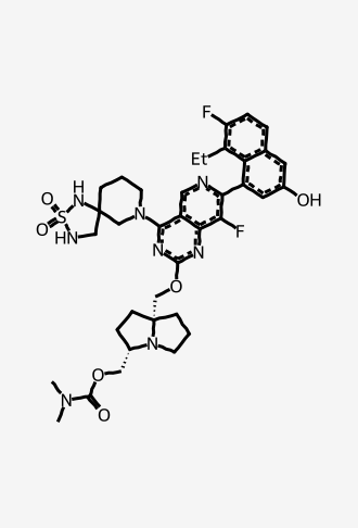 CCc1c(F)ccc2cc(O)cc(-c3ncc4c(N5CCCC6(CNS(=O)(=O)N6)C5)nc(OC[C@]56CCCN5[C@H](COC(=O)N(C)C)CC6)nc4c3F)c12